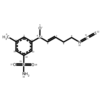 Cc1cc([S+]([O-])/C=C/CCN=C=S)cc(S(N)(=O)=O)c1